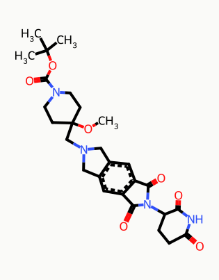 COC1(CN2Cc3cc4c(cc3C2)C(=O)N(C2CCC(=O)NC2=O)C4=O)CCN(C(=O)OC(C)(C)C)CC1